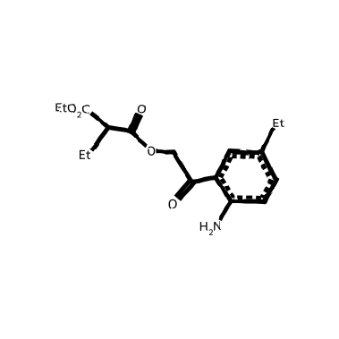 CCOC(=O)C(CC)C(=O)OCC(=O)c1cc(CC)ccc1N